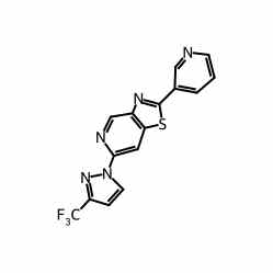 FC(F)(F)c1ccn(-c2cc3sc(-c4cccnc4)nc3cn2)n1